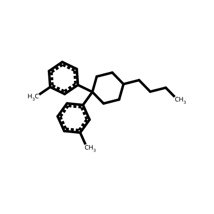 CCCCC1CCC(c2cccc(C)c2)(c2cccc(C)c2)CC1